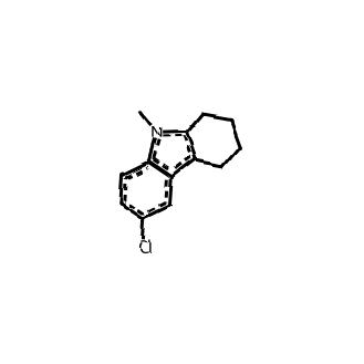 Cn1c2c(c3cc(Cl)ccc31)CCCC2